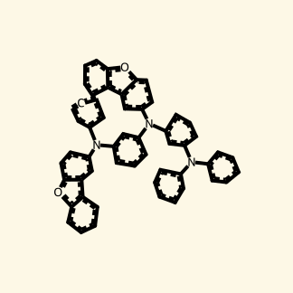 c1ccc(N(c2ccccc2)c2cccc(N(c3cccc(N(c4ccccc4)c4ccc5oc6ccccc6c5c4)c3)c3ccc4oc5ccccc5c4c3)c2)cc1